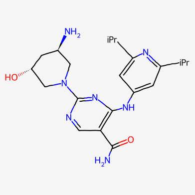 CC(C)c1cc(Nc2nc(N3C[C@H](N)C[C@@H](O)C3)ncc2C(N)=O)cc(C(C)C)n1